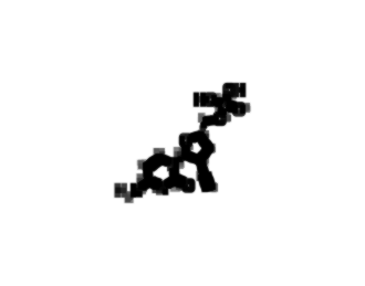 C#CC1C[C@@H](COP(=O)(O)O)O[C@H]1n1ccc(N)nc1=O